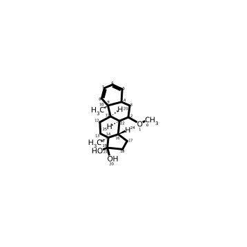 COC1CC2C=CC=C[C@]2(C)[C@@H]2CC[C@@]3(C)[C@@H](CCC3(O)O)[C@H]12